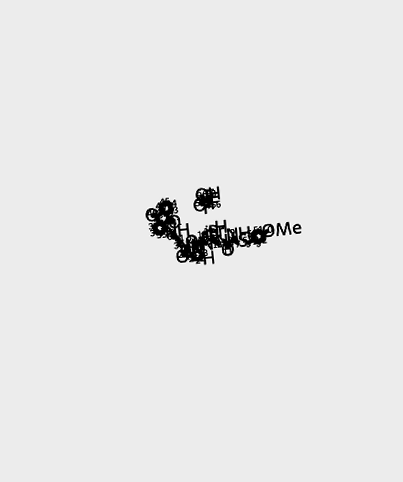 COc1ccc(CSC[C@H](N)C(=O)NCC(=O)N[C@@H](CC(C)C)C(=O)N2CCC[C@H]2C(=O)NCCCNc2cccc3c2C(=O)c2ccccc2C3=O)cc1.O=C(O)C(F)(F)F